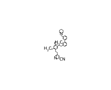 C=Cc1cc(Cl)c(CCc2cccc(-c3cccc(CN4CCCCC4)c3)c2C)cc1CCc1cncc(C#N)c1